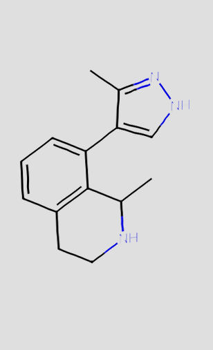 Cc1n[nH]cc1-c1cccc2c1C(C)NCC2